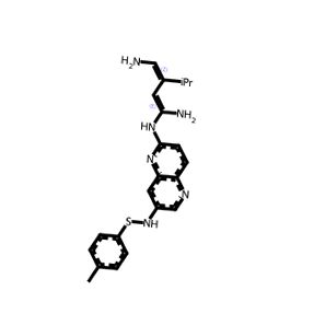 Cc1ccc(SNc2cnc3ccc(N/C(N)=C/C(=C\N)C(C)C)nc3c2)cc1